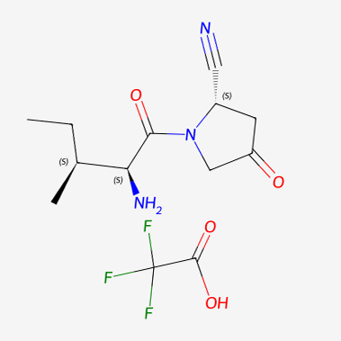 CC[C@H](C)[C@H](N)C(=O)N1CC(=O)C[C@H]1C#N.O=C(O)C(F)(F)F